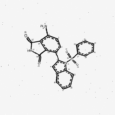 Nc1ccc(-c2cc3ccccc3n2S(=O)(=O)c2ccccc2)c2c1C(=O)NC2=O